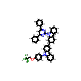 FC(F)(F)COc1ccc(-n2c3ccccc3c3cc(-c4ccc5c6ccccc6n(-c6nc(-c7ccccc7)cc(-c7ccccc7)n6)c5c4)ccc32)cc1